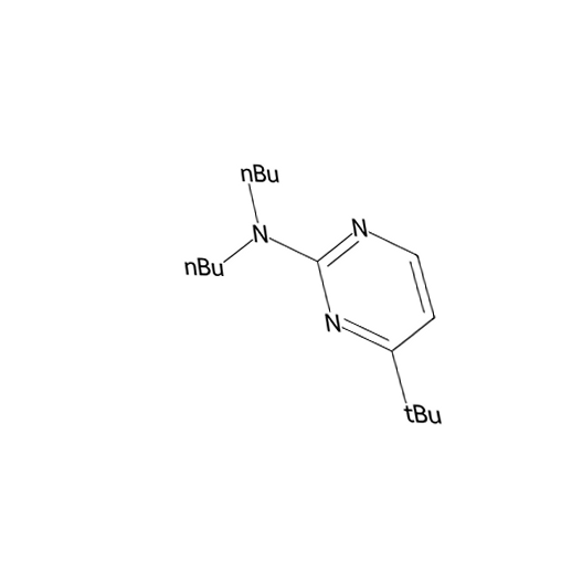 CCCCN(CCCC)c1nccc(C(C)(C)C)n1